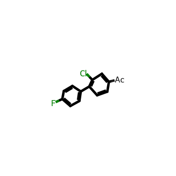 CC(=O)c1ccc(-c2ccc(F)cc2)c(Cl)c1